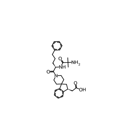 CC(C)(N)C(=O)N[C@H](CCCc1ccccc1)C(=O)N1CCC2(CC1)C[C@@H](CC(=O)O)c1ccccc12